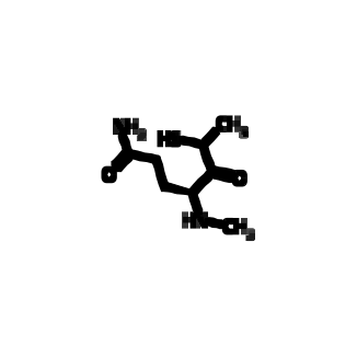 CN[C@@H](CCC(N)=O)C(=O)C(C)S